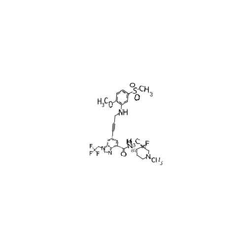 COc1ccc(S(C)(=O)=O)cc1NCC#Cc1cc(C(=O)N[C@H]2CCN(C)C[C@@]2(C)F)c2ncn(CC(F)(F)F)c2c1